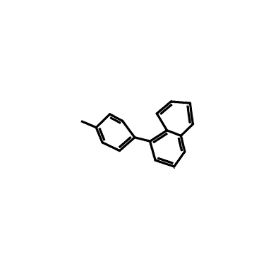 Cc1ccc(-c2c[c]cc3ccccc23)cc1